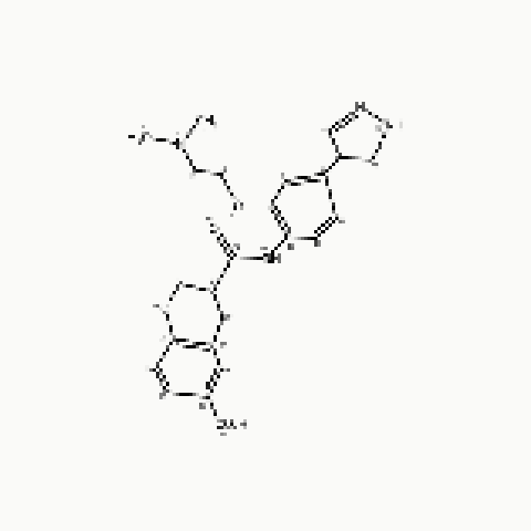 CN(C)CCOc1cc(C2C=NNC2)ccc1NC(=O)C1COc2ccc(C(=O)O)cc2C1